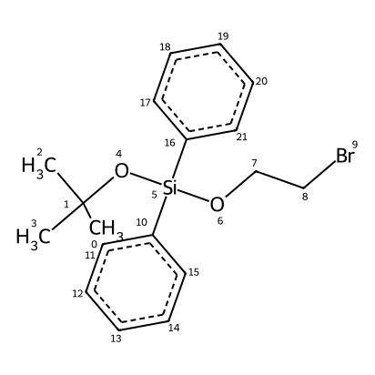 CC(C)(C)O[Si](OCCBr)(c1ccccc1)c1ccccc1